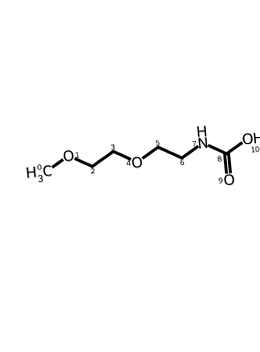 COCCOCCNC(=O)O